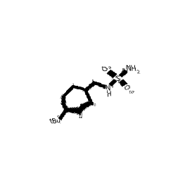 CC(C)(C)C1CCC(CNS(N)(=O)=O)CC1